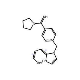 CCC/C=C\C=C1/NC=CN1Cc1ccc(C(=N)N2CCCC2)cc1